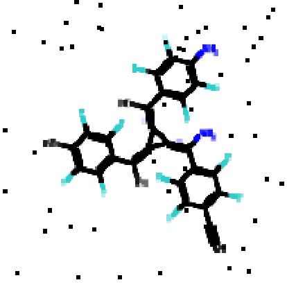 C#Cc1c(F)c(F)c(/C(N)=C2\C(=C(C#N)c3c(F)c(F)c(C#N)c(F)c3F)\C2=C(/C#N)c2c(F)c(F)c(N)c(F)c2F)c(F)c1F